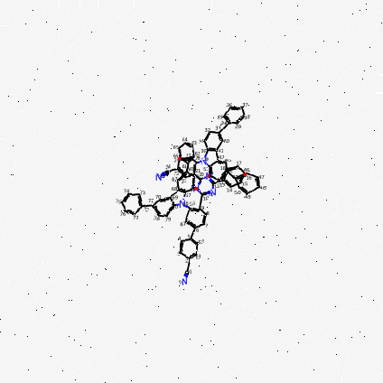 N#Cc1ccc(-c2ccc(-c3nc(-c4ccccc4)nc(-c4cc(C#N)ccc4-n4c5ccc(-c6ccccc6)cc5c5cc(-c6ccccc6)ccc54)n3)c(-n3c4ccc(-c5ccccc5)cc4c4cc(-c5ccccc5)ccc43)c2)cc1